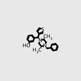 C[C@H]1CN(C(c2ccsc2)c2cccc(O)c2)[C@@H](C)CN1Cc1ccccc1